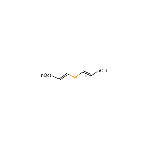 CCCCCCCC/C=C/[P]/C=C/CCCCCCCC